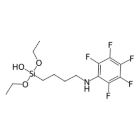 CCO[Si](O)(CCCCNc1c(F)c(F)c(F)c(F)c1F)OCC